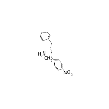 CN.O=[N+]([O-])c1ccc(CCCCc2ccccc2)cc1